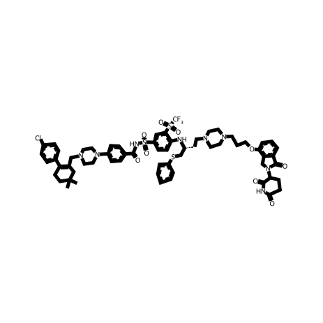 CC1(C)CCC(c2ccc(Cl)cc2)=C(CN2CCN(c3ccc(C(=O)NS(=O)(=O)c4ccc(N[C@H](CCN5CCN(CCCOc6cccc7c6CN(C6CCC(=O)NC6=O)C7=O)CC5)CSc5ccccc5)c(S(=O)(=O)C(F)(F)F)c4)cc3)CC2)C1